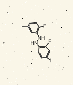 Cc1ccc(F)c(NNc2ccc(I)cc2F)c1